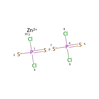 S=P([S-])(Cl)Cl.S=P([S-])(Cl)Cl.[Zn+2]